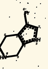 CC(C)c1c[nH]c2c1CCNC2